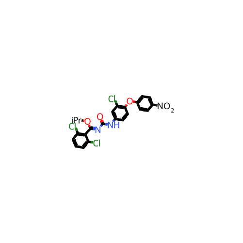 CC(C)O/C(=N\C(=O)Nc1ccc(Oc2ccc([N+](=O)[O-])cc2)c(Cl)c1)c1c(Cl)cccc1Cl